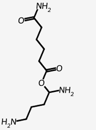 NCCCC(N)OC(=O)CCCCC(N)=O